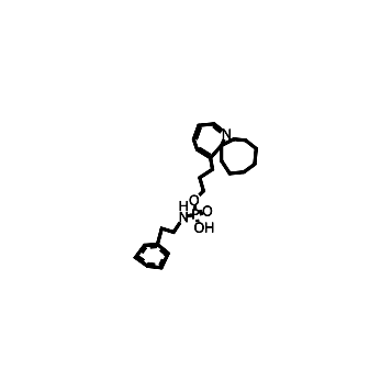 O=P(O)(NCCc1ccccc1)OCCCC1=CC=CC=NC12CCCCCCC2